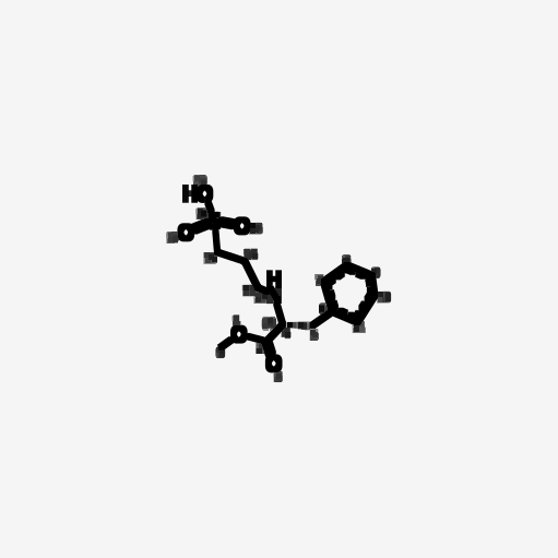 COC(=O)[C@@H](Cc1ccccc1)NCCCS(=O)(=O)O